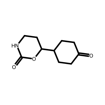 O=C1CCC(C2CCNC(=O)O2)CC1